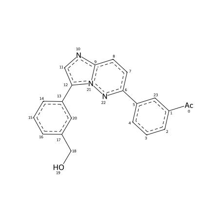 CC(=O)c1cccc(-c2ccc3ncc(-c4cccc(CO)c4)n3n2)c1